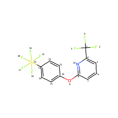 FC(F)(F)c1cccc(Oc2ccc(S(F)(F)(F)(F)F)cc2)n1